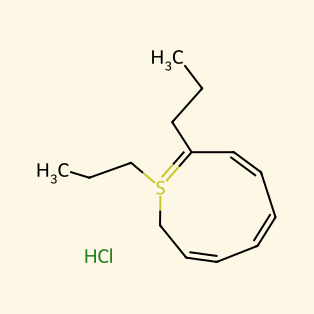 CCCC1=S(CCC)CC=CC=CC=C1.Cl